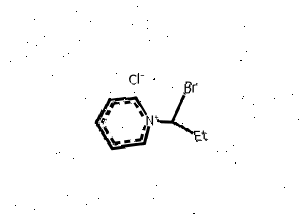 CCC(Br)[n+]1ccccc1.[Cl-]